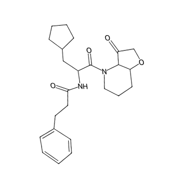 O=C(CCc1ccccc1)NC(CC1CCCC1)C(=O)N1CCCC2OCC(=O)C21